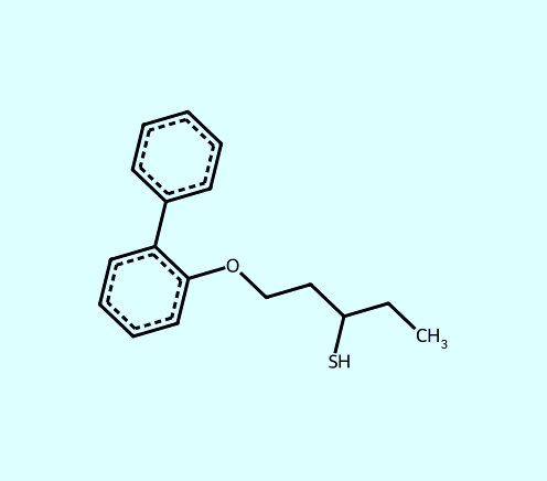 CCC(S)CCOc1ccccc1-c1ccccc1